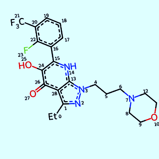 CCc1nn(CCCN2CCOCC2)c2[nH]c(-c3cccc(C(F)(F)F)c3F)c(O)c(=O)c12